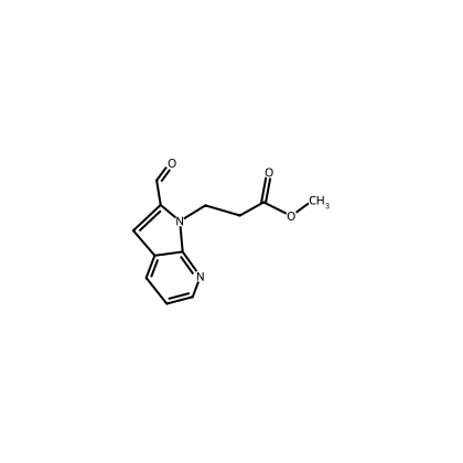 COC(=O)CCn1c(C=O)cc2cccnc21